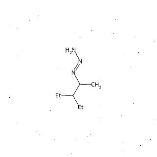 CCC(CC)C(C)N=NN